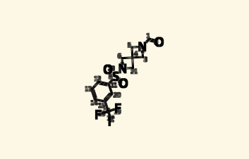 O=CN1CC2(C1)CN(S(=O)(=O)c1cccc(C(F)(F)F)c1)C2